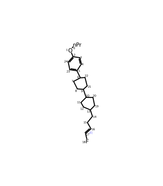 CCCOc1ccc(C2CCC(C3CCC(CC/C=C/F)CC3)CC2)cc1